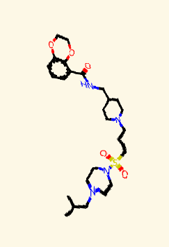 CC(C)CN1CCN(S(=O)(=O)CCCN2CCC(CNC(=O)c3cccc4c3OCCO4)CC2)CC1